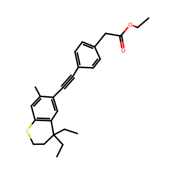 CCOC(=O)Cc1ccc(C#Cc2cc3c(cc2C)SCCC3(CC)CC)cc1